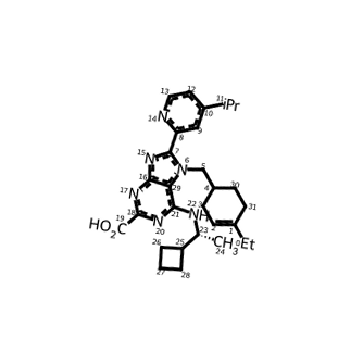 CCC1=CCC(Cn2c(-c3cc(C(C)C)ccn3)nc3nc(C(=O)O)nc(N[C@H](C)C4CCC4)c32)CC1